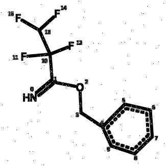 N=C(OCc1ccccc1)C(F)(F)C(F)F